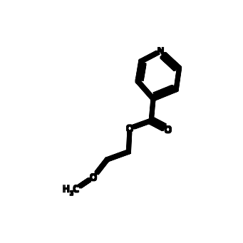 COCCOC(=O)c1ccncc1